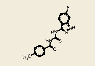 Cc1ccc(C(=O)NC(=S)Nc2n[nH]c3cc(F)ccc23)cc1